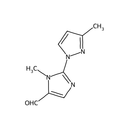 Cc1ccn(-c2ncc(C=O)n2C)n1